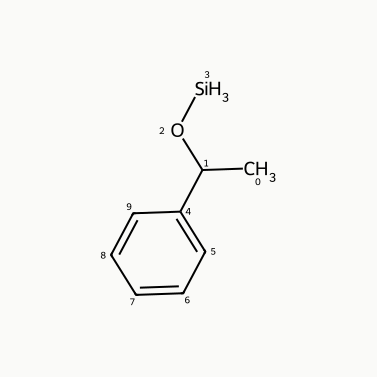 CC(O[SiH3])c1ccccc1